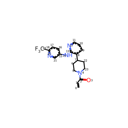 C=CC(=O)N1CCC(c2cccnc2Nc2ccc(C(F)(F)F)nc2)CC1